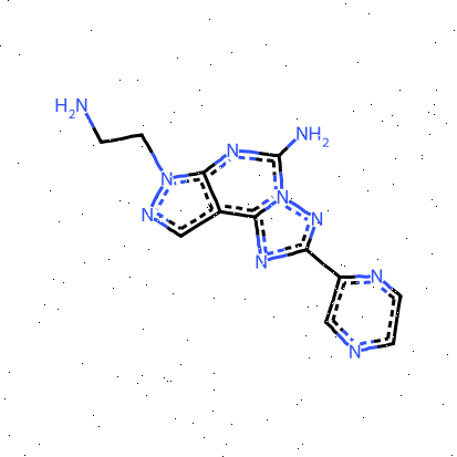 NCCn1ncc2c1nc(N)n1nc(-c3cnccn3)nc21